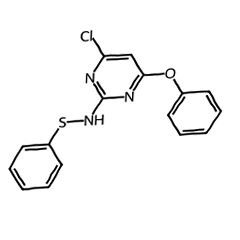 Clc1cc(Oc2ccccc2)nc(NSc2ccccc2)n1